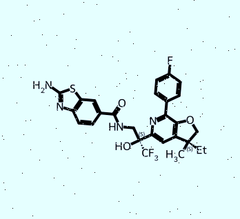 CC[C@]1(C)COc2c1cc([C@@](O)(CNC(=O)c1ccc3nc(N)sc3c1)C(F)(F)F)nc2-c1ccc(F)cc1